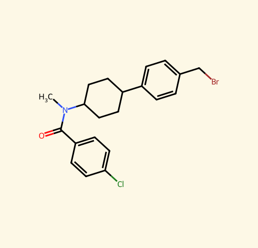 CN(C(=O)c1ccc(Cl)cc1)C1CCC(c2ccc(CBr)cc2)CC1